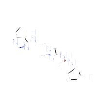 Cc1nc(NC(=O)Nc2cccc(C(F)(F)F)c2)cn1CCNc1ncnc2ccsc12